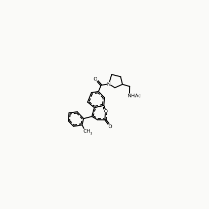 CC(=O)NCC1CCN(C(=O)c2ccc3c(-c4ccccc4C)cc(=O)oc3c2)C1